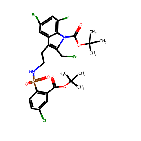 CC(C)(C)OC(=O)c1cc(Cl)ccc1S(=O)(=O)NCCc1c(CBr)n(C(=O)OC(C)(C)C)c2c(F)cc(Br)cc12